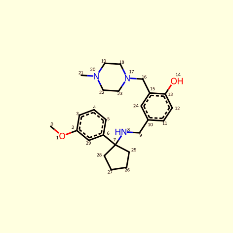 COc1cccc(C2(NCc3ccc(O)c(CN4CCN(C)CC4)c3)CCCC2)c1